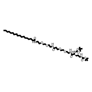 CCCCCCCCCCCCCCCCCC(=O)NCCOCCOCCNC(=O)CCOCCOCCNC(=O)[C@H](CCCNC(=O)OC(C)(C)C)NC(=O)OC(C)(C)C